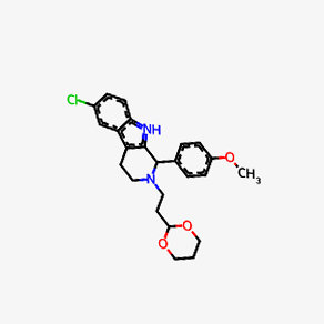 COc1ccc(C2c3[nH]c4ccc(Cl)cc4c3CCN2CCC2OCCCO2)cc1